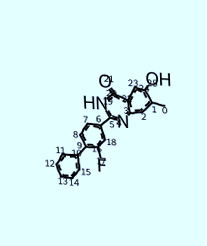 Cc1cc2nc(-c3ccc(-c4ccccc4)c(F)c3)[nH]c(=O)c2cc1O